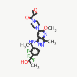 COc1nc2c(C)nnc(N[C@H](C)c3cccc(C(F)(F)C(C)O)c3F)c2cc1N1CCN(C(=O)C2COC2)CC1